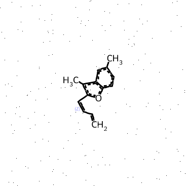 C=C/C=C\c1oc2ccc(C)cc2c1C